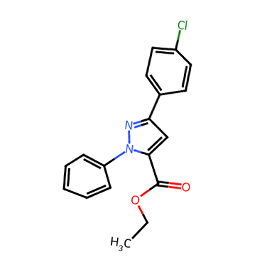 CCOC(=O)c1cc(-c2ccc(Cl)cc2)nn1-c1ccccc1